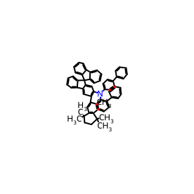 Cc1cc2c(cc1-c1cc3c(cc1N(c1ccc(-c4ccccc4)cc1)c1ccccc1-c1ccccc1)C1(c4ccccc4-c4ccccc41)c1ccccc1-3)C(C)(C)CCC2(C)C